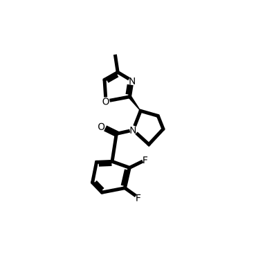 Cc1coc([C@H]2CCCN2C(=O)c2cccc(F)c2F)n1